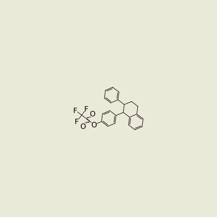 O=S(=O)(Oc1ccc(C2c3ccccc3CCC2c2ccccc2)cc1)C(F)(F)F